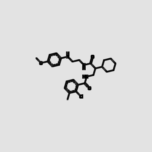 COc1ccc(NCCNC(=O)C(CNC(=O)c2cccc(C)c2Cl)C2CCCCC2)cc1